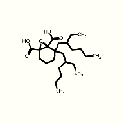 CCCCC(CC)CC1(CC(CC)CCCC)CCCC2(C(=O)O)OC12C(=O)O